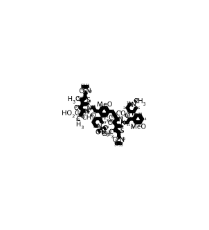 COc1cc(CC(C)(C(=O)O)c2nn(CC(OC3CCN(C)CC3)c3ccccc3OC)c3sc(-c4ncco4)c(C)c3c2=O)ccc1C(Cn1nc(C(C)(C)C(=O)O)c(=O)c2c(C)c(-c3ncco3)sc21)OC1CCN(S(C)(=O)=O)CC1